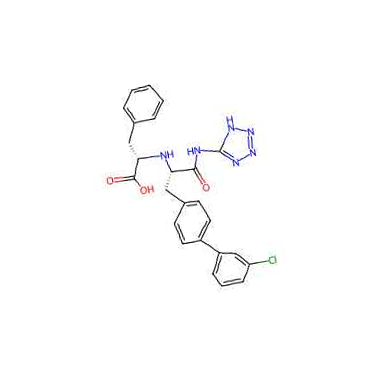 O=C(O)[C@H](Cc1ccccc1)N[C@@H](Cc1ccc(-c2cccc(Cl)c2)cc1)C(=O)Nc1nnn[nH]1